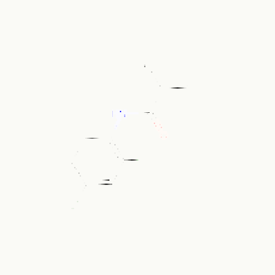 CC(C)C(=O)NC1=C(F)C=C(F)CC1